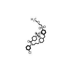 CCOCCS(=O)(=O)c1ccc(CC2CCN(CCCN(C(=O)C3CCN(S(C)(=O)=O)CC3)c3cccc(Cl)c3)CC2)cc1